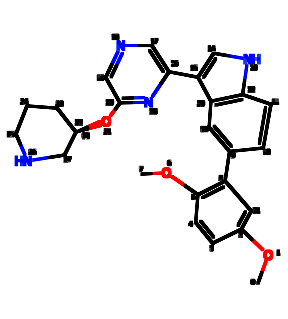 COc1ccc(OC)c(-c2ccc3[nH]cc(-c4cncc(O[C@@H]5CCCNC5)n4)c3c2)c1